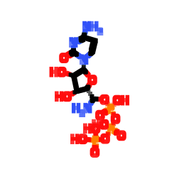 Nc1ccn([C@@H]2O[C@H](C(N)OP(=O)(O)OP(=O)(O)OP(=O)(O)O)[C@@H](O)[C@H]2O)c(=O)n1